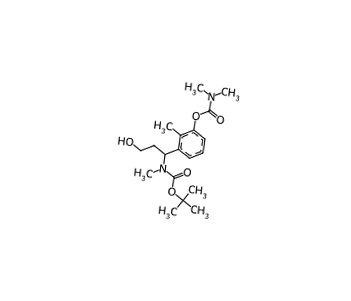 Cc1c(OC(=O)N(C)C)cccc1C(CCO)N(C)C(=O)OC(C)(C)C